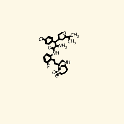 CC(C)C1CC(C(c2ccc(Cl)cc2)C(N)C(=O)Nc2cccc(F)c2CCC2CNC3CCCS(=O)(=O)N2C3)CCO1